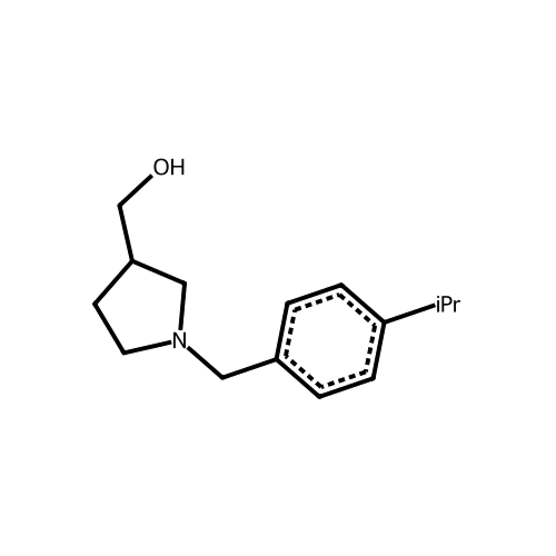 CC(C)c1ccc(CN2CCC(CO)C2)cc1